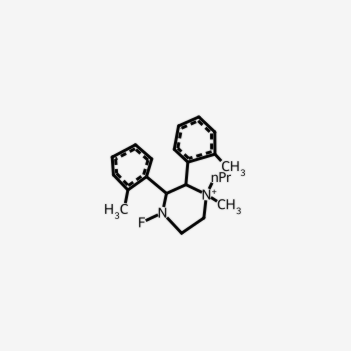 CCC[N+]1(C)CCN(F)C(c2ccccc2C)C1c1ccccc1C